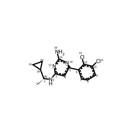 C[C@@H](Nc1cc(-c2cccc(Cl)c2Cl)nc(N)n1)C1CC1